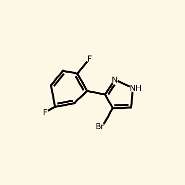 Fc1ccc(F)c(-c2n[nH]cc2Br)c1